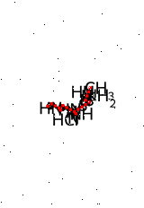 CCN/C(N)=N/c1nc(CSCCCN/C(=N\C/C=C/c2ccc(NCc3ccccc3)cc2)NC#N)cs1.Cl